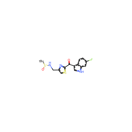 CC(C)(C)[S+]([O-])NCc1csc(C(=O)c2c[nH]c3cc(F)ccc23)n1